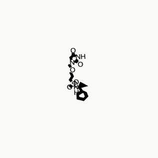 O=C1CN(COCCCS(=O)(=O)NC2(c3ccccc3)CC2)C(=O)N1